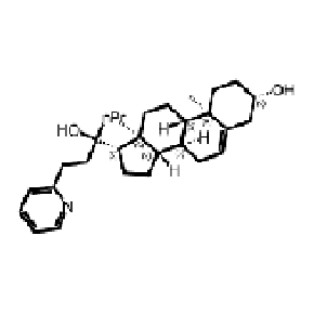 CCCC(O)(CCc1ccccn1)[C@H]1CC[C@H]2[C@@H]3CC=C4C[C@@H](O)CC[C@]4(C)[C@H]3CC[C@]12C